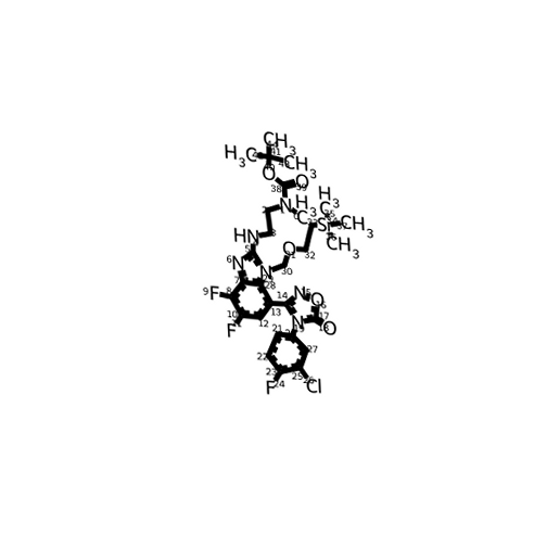 CN(CCNc1nc2c(F)c(F)cc(-c3noc(=O)n3-c3ccc(F)c(Cl)c3)c2n1COCC[Si](C)(C)C)C(=O)OC(C)(C)C